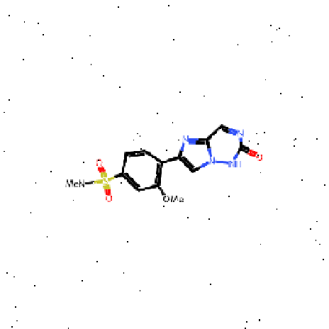 CNS(=O)(=O)c1ccc(-c2cn3[nH]c(=O)ncc3n2)c(OC)c1